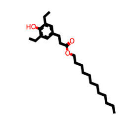 CCCCCCCCCCCCOC(=O)CCc1cc(CC)c(O)c(CC)c1